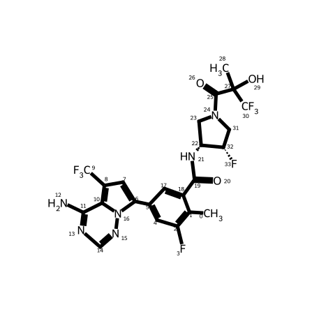 Cc1c(F)cc(-c2cc(C(F)(F)F)c3c(N)ncnn23)cc1C(=O)N[C@@H]1CN(C(=O)C(C)(O)C(F)(F)F)C[C@@H]1F